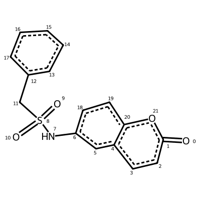 O=c1ccc2cc(NS(=O)(=O)Cc3ccccc3)ccc2o1